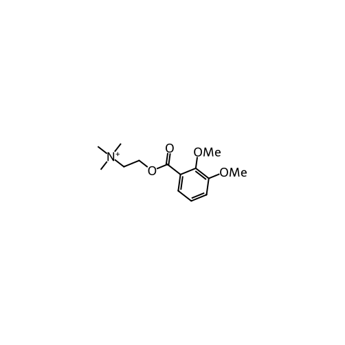 COc1cccc(C(=O)OCC[N+](C)(C)C)c1OC